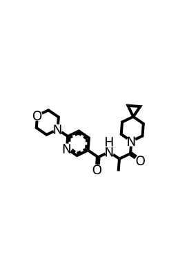 CC(NC(=O)c1ccc(N2CCOCC2)nc1)C(=O)N1CCC2(CC1)CC2